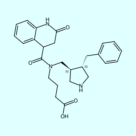 O=C(O)CCCN(C[C@@H]1CNC[C@H]1Cc1ccccc1)C(=O)C1CC(=O)Nc2ccccc21